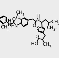 COc1cc(CC(=O)NC(CC(C)C)c2cc(CC(C)C(=O)O)cs2)ccc1NC(=O)Nc1ccccc1C